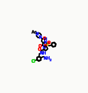 CC(=O)N1CCN(C(=O)C[C@@H](NS(=O)(=O)Cc2ccccc2)C(=O)N2CCC[C@H]2C(=O)NCc2cc(Cl)ccc2CN)CC1